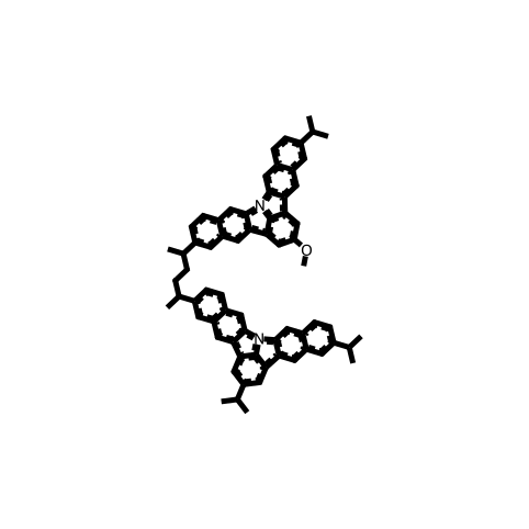 COc1cc2c3cc4cc(C(C)C)ccc4cc3n3c4cc5ccc(C(C)CCC(C)c6ccc7cc8c(cc7c6)c6cc(C(C)C)cc7c9cc%10cc(C(C)C)ccc%10cc9n8c76)cc5cc4c(c1)c23